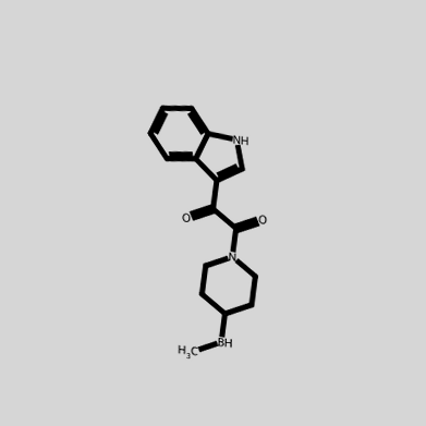 CBC1CCN(C(=O)C(=O)c2c[nH]c3ccccc23)CC1